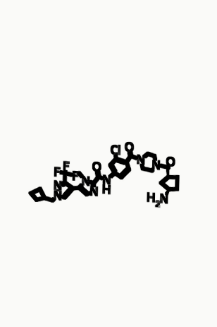 Cn1c(-c2cn(CC3CCC3)nc2C(F)(F)F)cnc1C(=O)Nc1ccc(C(=O)N2CCN(C(=O)[C@H]3CC[C@@H](N)C3)CC2)c(Cl)c1